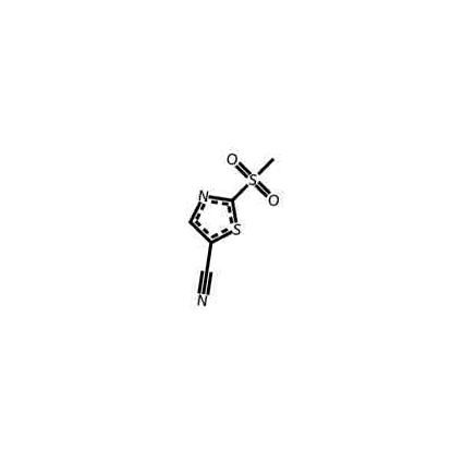 CS(=O)(=O)c1ncc(C#N)s1